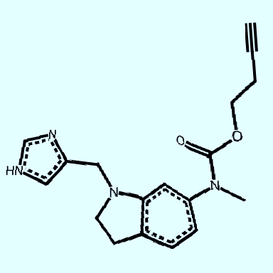 C#CCCOC(=O)N(C)c1ccc2c(c1)N(Cc1c[nH]cn1)CC2